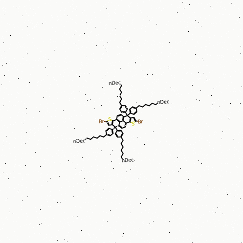 CCCCCCCCCCCCCCCCc1ccc(C2(c3ccc(CCCCCCCCCCCCCCCC)cc3)c3cc(Br)sc3-c3ccc4c5c(ccc2c35)-c2sc(Br)cc2C4(c2ccc(CCCCCCCCCCCCCCCC)cc2)c2ccc(CCCCCCCCCCCCCCCC)cc2)cc1